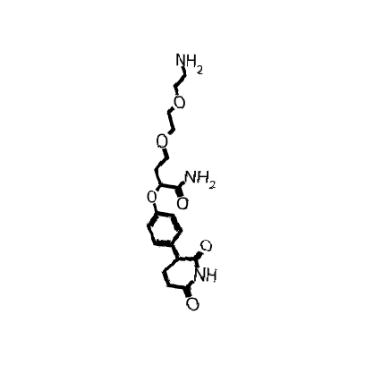 NCCOCCOCCC(Oc1ccc(C2CCC(=O)NC2=O)cc1)C(N)=O